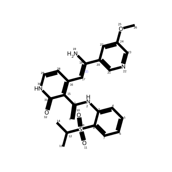 C=C(Nc1ccccc1S(=O)(=O)C(C)C)c1c(/C=C(\N)c2cncc(OC)c2)cc[nH]c1=O